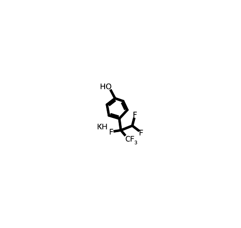 Oc1ccc(C(F)(C(F)F)C(F)(F)F)cc1.[KH]